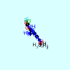 CC(C)(C)OC(=O)N1CC(N2CCC(N3CCN(c4ncc(C(=O)Nc5ccc(OC(F)(F)Cl)cc5)cc4-c4ccn[nH]4)CC3)CC2)C1